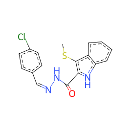 CSc1c(C(=O)N/N=C\c2ccc(Cl)cc2)[nH]c2ccccc12